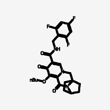 CCCCOc1c2n(cc(C(=O)NCc3c(F)cc(F)cc3F)c1=O)CC13CCC(CC1)N3C2=O